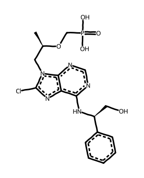 C[C@H](Cn1c(Cl)nc2c(N[C@@H](CO)c3ccccc3)ncnc21)OCP(=O)(O)O